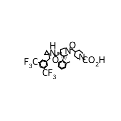 Cc1ccccc1[C@@H]1CN(C(=O)C2CCN(C(=O)O)CC2)CC[C@H]1C(=O)NC1(Cc2cc(C(F)(F)F)cc(C(F)(F)F)c2)CC1